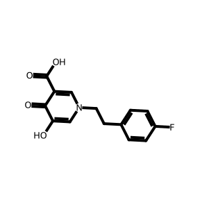 O=C(O)c1cn(CCc2ccc(F)cc2)cc(O)c1=O